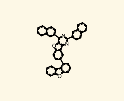 c1ccc2cc(-c3nc(-c4ccc5ccccc5c4)c4oc5ccc(-c6cccc7oc8ccccc8c67)cc5c4n3)ccc2c1